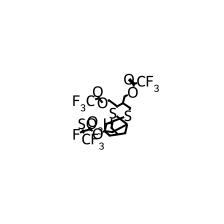 O=C(OCC1CSC2(SC1COC(=O)C(F)(F)F)C1CC3CC2CC(OC(=O)C(F)(C(F)(F)F)S(=O)(=O)O)(C3)C1)C(F)(F)F